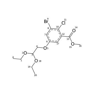 CCOC(COc1cc(Br)c(Cl)c(C(=O)OC)c1)OCC